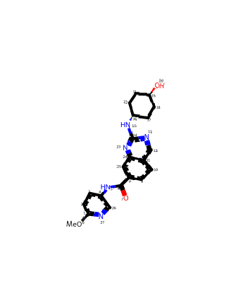 COc1ccc(NC(=O)c2ccc3cnc(N[C@H]4CC[C@H](O)CC4)nc3c2)cn1